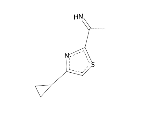 CC(=N)c1nc(C2CC2)cs1